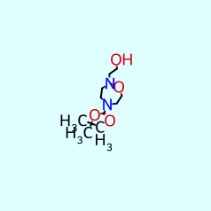 CC(C)(C)OC(=O)N1CCON(CCO)CC1